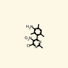 Cc1nc(Cl)c([N+](=O)[O-])c(-c2c(C)cc(C)c(N)c2C)n1